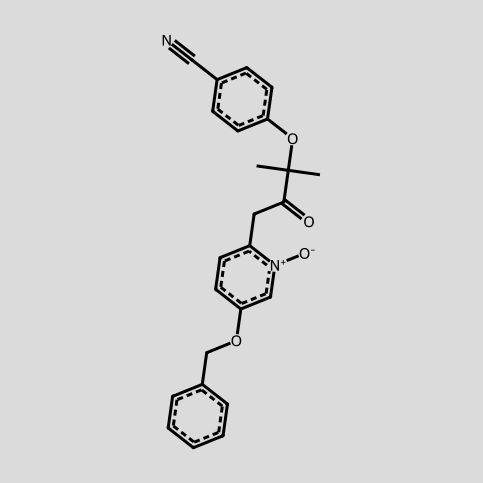 CC(C)(Oc1ccc(C#N)cc1)C(=O)Cc1ccc(OCc2ccccc2)c[n+]1[O-]